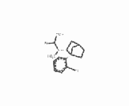 CCC(OC)N(C(=O)O)[C@@H]1CC2CC[C@]1(c1ccccc1Cl)C2